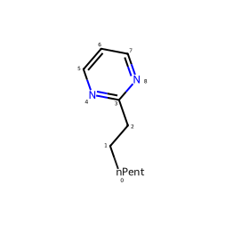 CCCCCCCc1ncccn1